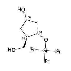 CC(C)[Si](O[C@H]1C[C@@H](O)C[C@@H]1CO)(C(C)C)C(C)C